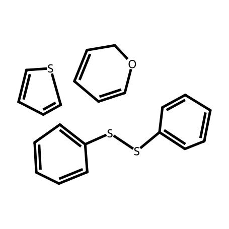 C1=CCOC=C1.c1ccc(SSc2ccccc2)cc1.c1ccsc1